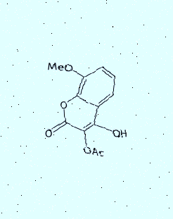 COc1cccc2c(O)c(OC(C)=O)c(=O)oc12